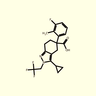 Cc1c(F)cccc1C1(C(=O)O)CCc2nn(CC(F)(F)F)c(C3CC3)c2C1